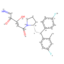 Cc1cc(F)ccc1[C@H](C[C@H]1CCCN1C(=O)/C=C(\O)C(=O)C=N)c1ccc(F)cc1